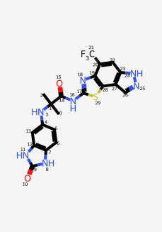 CC(C)(Nc1ccc2[nH]c(=O)[nH]c2c1)C(=O)Nc1nc2c(C(F)(F)F)cc3[nH]ncc3c2s1